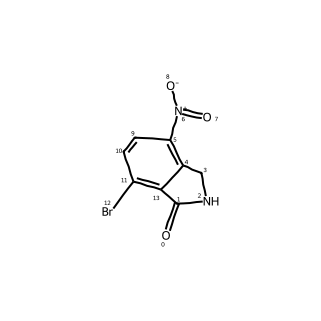 O=C1NCc2c([N+](=O)[O-])ccc(Br)c21